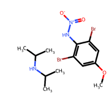 CC(C)NC(C)C.COc1cc(Br)c(N[N+](=O)[O-])c(Br)c1